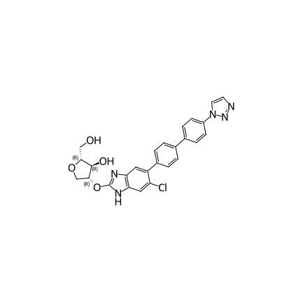 OC[C@H]1OC[C@@H](Oc2nc3cc(-c4ccc(-c5ccc(-n6ccnn6)cc5)cc4)c(Cl)cc3[nH]2)[C@@H]1O